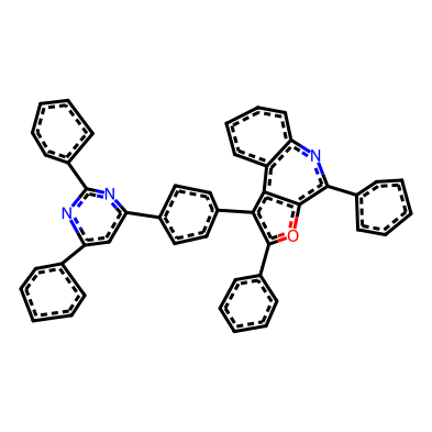 c1ccc(-c2cc(-c3ccc(-c4c(-c5ccccc5)oc5c(-c6ccccc6)nc6ccccc6c45)cc3)nc(-c3ccccc3)n2)cc1